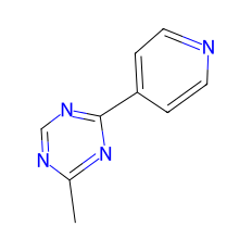 Cc1ncnc(-c2ccncc2)n1